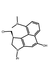 CC(C)N1C[C@@H](CCl)c2c1cc(O)c1cccc(N(C)C)c21